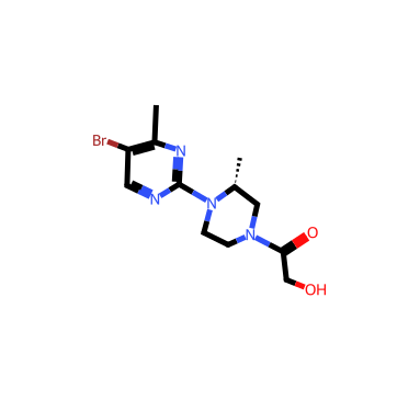 Cc1nc(N2CCN(C(=O)CO)C[C@H]2C)ncc1Br